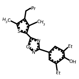 CCc1cc(-c2noc(-c3sc(C)c(CC(C)C)c3C)n2)cc(CC)c1O